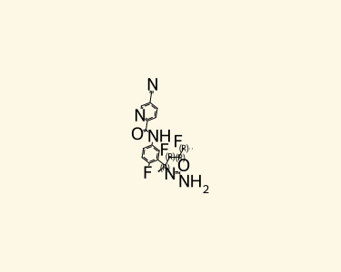 C[C@@H](F)[C@H]1OC(N)=N[C@](C)(c2cc(NC(=O)c3ccc(C#N)cn3)ccc2F)[C@H]1F